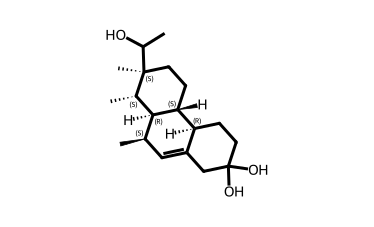 CC(O)[C@@]1(C)CC[C@H]2[C@@H]([C@H](C)C=C3CC(O)(O)CC[C@@H]32)[C@@H]1C